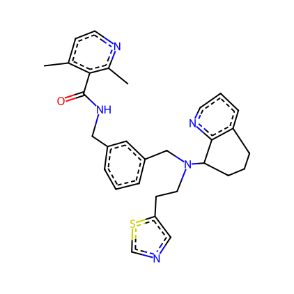 Cc1ccnc(C)c1C(=O)NCc1cccc(CN(CCc2cncs2)C2CCCc3cccnc32)c1